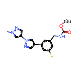 Cn1cc(-n2cc(-c3cc(F)cc(CNC(=O)OC(C)(C)C)c3)cn2)cn1